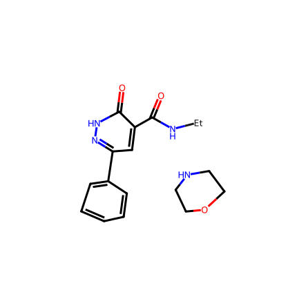 C1COCCN1.CCNC(=O)c1cc(-c2ccccc2)n[nH]c1=O